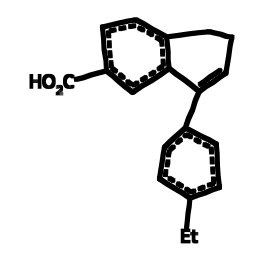 CCc1ccc(C2=CCCc3ccc(C(=O)O)cc32)cc1